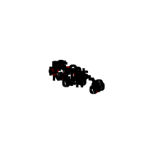 O=C(CCCCCc1cc(S(=O)(=O)O)c(CNC(=O)C2CCCCNC(=O)c3cc4nc(c3)-c3cc(cc(n3)CN3Cc5cccc(n5)-c5cccc(n5)CN(Cc5cccc(n5)-c5cccc(n5)C3)C4)C(=O)N2)s1)ON1C(=O)CCC1=O